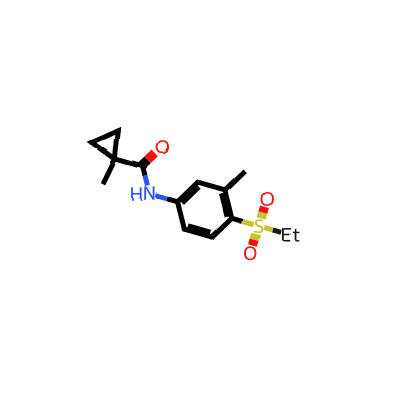 CCS(=O)(=O)c1ccc(NC(=O)C2(C)CC2)cc1C